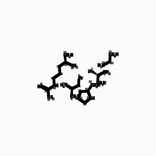 CC(C)C[C@H](N)C(=O)O.CC(C)[C@H](N)C(=O)O.N=C(N)NCCC[C@H](N)C(=O)O.NCC(=O)O.O=C(O)[C@@H]1CCCN1